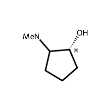 CNC1CCC[C@H]1O